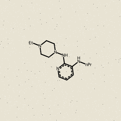 CCCNc1cccnc1NN1CCN(CC)CC1